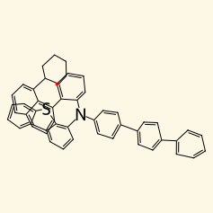 c1ccc(-c2ccc(-c3ccc(N(c4ccccc4-c4cccc5cccc(C6CCCCC6)c45)c4cccc5c4sc4ccccc45)cc3)cc2)cc1